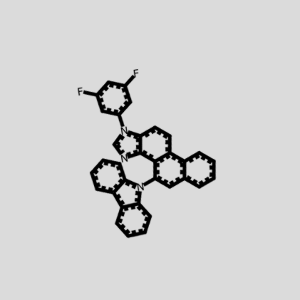 Fc1cc(F)cc(-n2cnc3c4c(-n5c6ccccc6c6ccccc65)cc5ccccc5c4ccc32)c1